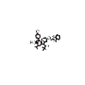 COc1ccc(C(=O)c2c(CC(C(=O)O)C(C)C)c(C(=O)C(C)(C)C)c3cc(OCc4nc5ccccc5s4)ccn23)cc1